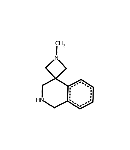 CN1CC2(CNCc3ccccc32)C1